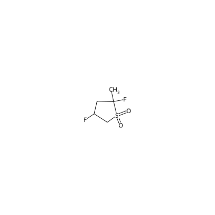 CC1(F)CC(F)CS1(=O)=O